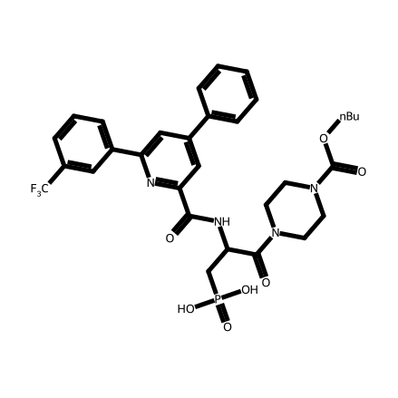 CCCCOC(=O)N1CCN(C(=O)C(CP(=O)(O)O)NC(=O)c2cc(-c3ccccc3)cc(-c3cccc(C(F)(F)F)c3)n2)CC1